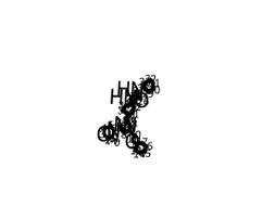 C[C@H]1COCCN1c1cc(COc2ccccc2)nc(-c2ccc(NC(=O)Nc3ccccc3)cc2)n1